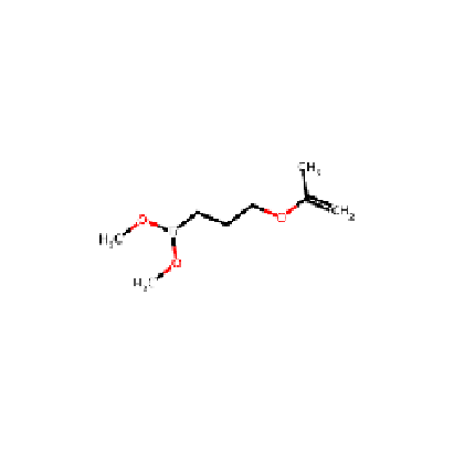 C=C(C)OCC[CH2][Ti]([O]C)[O]C